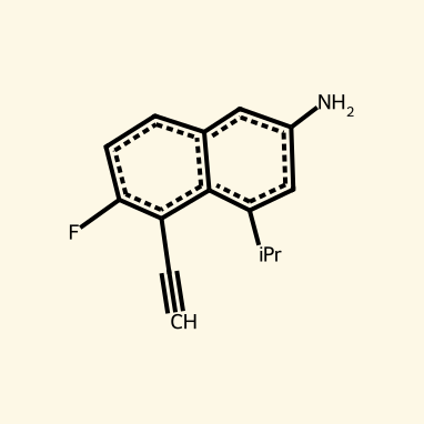 C#Cc1c(F)ccc2cc(N)cc(C(C)C)c12